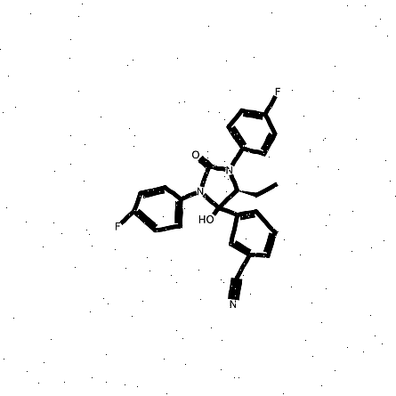 CC[C@@H]1N(c2ccc(F)cc2)C(=O)N(c2ccc(F)cc2)C1(O)c1cccc(C#N)c1